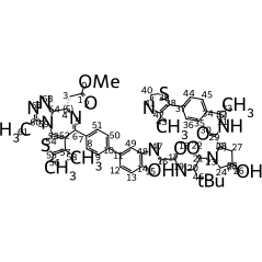 COC(=O)C[C@@H]1N=C(c2ccc(-c3ccc4oc(C(=O)NC(C(=O)N5C[C@H](O)C[C@H]5C(=O)N[C@@H](C)c5ccc(-c6scnc6C)cc5)C(C)(C)C)nc4c3)cc2)c2c(sc(C)c2C)-n2c(C)nnc21